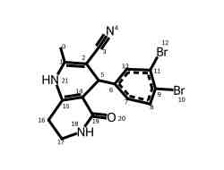 CC1=C(C#N)C(c2ccc(Br)c(Br)c2)C2=C(CCNC2=O)N1